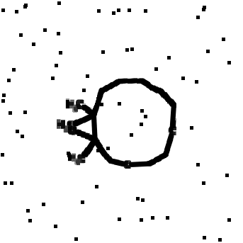 CC1(C)CCCCCCCCCCC1(C)[O]